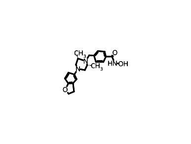 C[C@@H]1CN(c2ccc3c(c2)CCO3)C[C@H](C)N1Cc1ccc(C(=O)NO)cc1